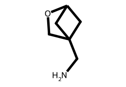 NCC12COC(C1)C2